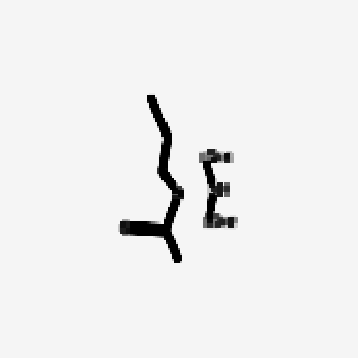 CCCCCCCCCCNCCCCCCCCCC.CCCOC(C)=O